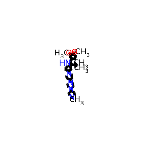 COc1ccc(-c2[nH]c3ccc(N4CCC(N5CCN(C6CCN(C)CC6)CC5)CC4)cc3c2C(C)C)cc1OC